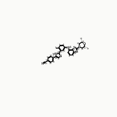 Cc1ccc(Nc2cccc3nc(N4C[C@@H](C)O[C@@H](C)C4)sc23)cc1-c1ncc(-c2ccc(C#N)cc2)[nH]1